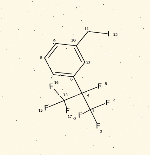 FC(F)(F)C(F)(c1cc[c]c(CI)c1)C(F)(F)F